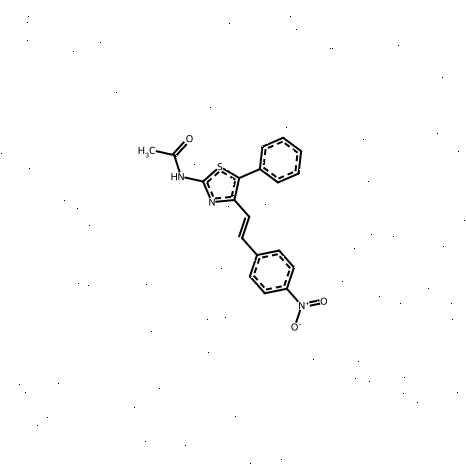 CC(=O)Nc1nc(C=Cc2ccc([N+](=O)[O-])cc2)c(-c2ccccc2)s1